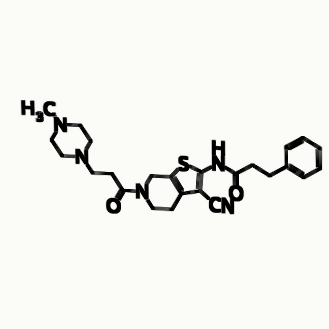 CN1CCN(CCC(=O)N2CCc3c(sc(NC(=O)CCc4ccccc4)c3C#N)C2)CC1